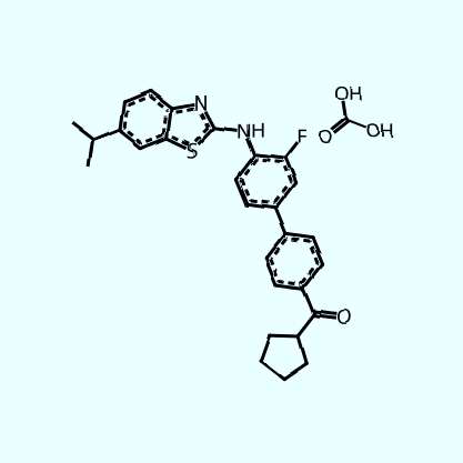 CC(C)c1ccc2nc(Nc3ccc(-c4ccc(C(=O)C5CCCC5)cc4)cc3F)sc2c1.O=C(O)O